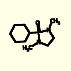 CN1CCN(C)P1(=O)C1CCCCC1